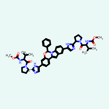 COC(=O)NC(C(=O)N1CCCC1c1ncc(-c2ccc3c(c2)cc2n3C(c3ccccc3)Oc3cc(-c4cnc([C@@H]5CCCN5C(=O)C(NC(=O)OC)C(C)C)[nH]4)ccc3-2)[nH]1)C(C)C